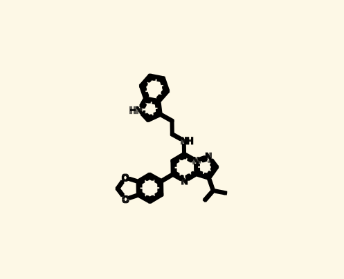 CC(C)c1cnn2c(NCCc3c[nH]c4ccccc34)cc(-c3ccc4c(c3)OCO4)nc12